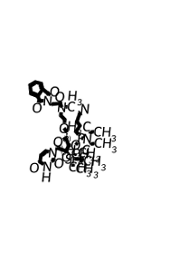 CC(C)N(C(C)C)P(CCCC#N)OC1[C@@H](COCCN(C)C(=O)CN2C(=O)c3ccccc3C2=O)O[C@@H](n2ccc(=O)[nH]c2=O)[C@H]1O[Si](C)(C)C(C)(C)C